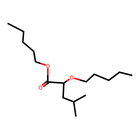 CCCCCOC(=O)C(CC(C)C)OCCCCC